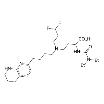 CCN(CC)C(=O)NC(CCN(CCCCc1ccc2c(n1)NCCC2)CCC(F)F)C(=O)O